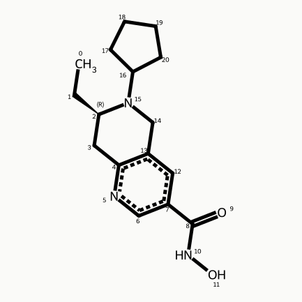 CC[C@@H]1Cc2ncc(C(=O)NO)cc2CN1C1CCCC1